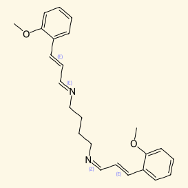 COc1ccccc1/C=C/C=N\CCCC/N=C/C=C/c1ccccc1OC